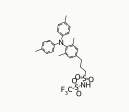 Cc1ccc(N(c2ccc(C)cc2)c2c(C)cc(CCCS(=O)(=O)NS(=O)(=O)C(F)(F)F)cc2C)cc1